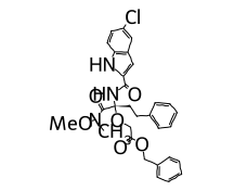 CON(C)C(=O)[C@](CCc1ccccc1)(NC(=O)c1cc2cc(Cl)ccc2[nH]1)OCC(=O)OCc1ccccc1